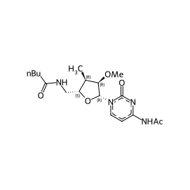 CCCCC(=O)NC[C@H]1O[C@@H](n2ccc(NC(C)=O)nc2=O)[C@H](OC)[C@@H]1C